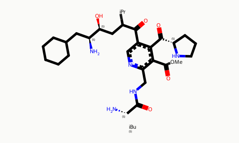 CC[C@H](C)[C@H](N)C(=O)NCc1ncc(C(=O)C(C[C@H](O)[C@@H](N)CC2CCCCC2)C(C)C)c(C(=O)[C@@H]2CCCN2)c1C(=O)OC